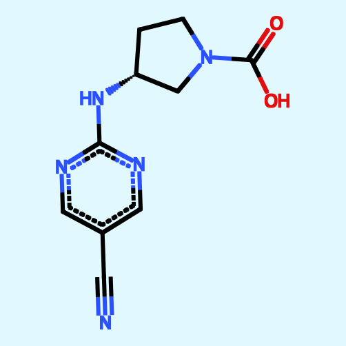 N#Cc1cnc(N[C@@H]2CCN(C(=O)O)C2)nc1